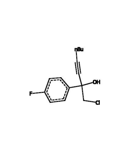 CCCCC#CC(O)(CCl)c1ccc(F)cc1